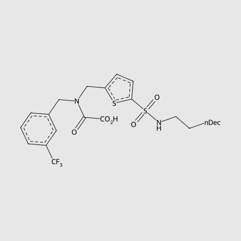 CCCCCCCCCCCCNS(=O)(=O)c1ccc(CN(Cc2cccc(C(F)(F)F)c2)C(=O)C(=O)O)s1